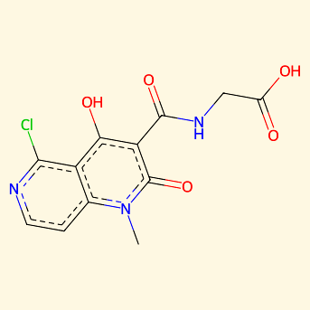 Cn1c(=O)c(C(=O)NCC(=O)O)c(O)c2c(Cl)nccc21